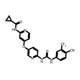 N#Cc1ccc(NC(=O)Nc2ccc(Oc3ccnc(NC(=O)C4CC4)c3)cn2)cc1C(F)(F)F